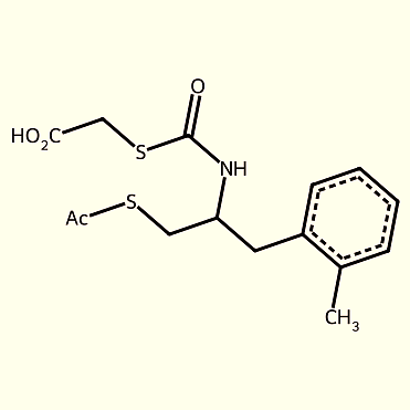 CC(=O)SCC(Cc1ccccc1C)NC(=O)SCC(=O)O